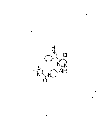 Cc1nc(C(=O)N2CCC(Nc3ncc(Cl)c(-c4c[nH]c5ccccc45)n3)CC2)cs1